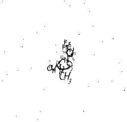 C[C@@H]1CON(c2ccnc(C(F)(F)F)c2)CCN1C=O